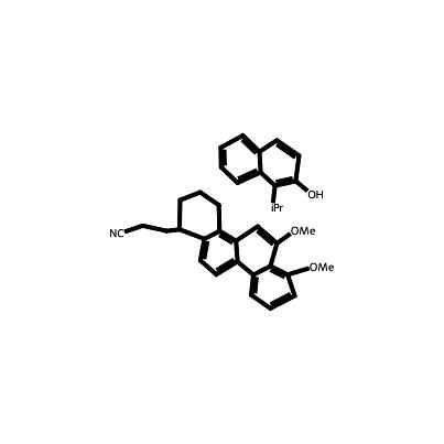 CC(C)c1c(O)ccc2ccccc12.COc1cccc2c1c(OC)cc1c3c(ccc12)C(CCC#N)CCC3